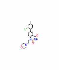 Cc1ccc(-c2ccc3c(c2)C(=O)N[S+]([O-])N3CCN2CCOCC2)c(Cl)c1